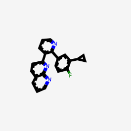 Fc1ccc(-c2ncccc2-c2ccc3cccnc3n2)cc1C1CC1